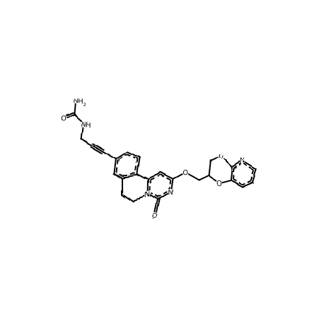 NC(=O)NCC#Cc1ccc2c(c1)CCn1c-2cc(OCC2COc3ncccc3O2)nc1=O